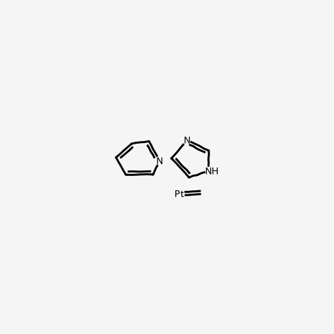 [CH2]=[Pt].c1c[nH]cn1.c1ccncc1